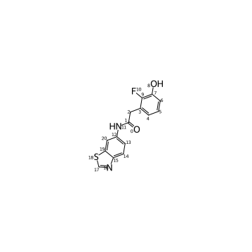 O=C(Cc1cccc(O)c1F)Nc1ccc2ncsc2c1